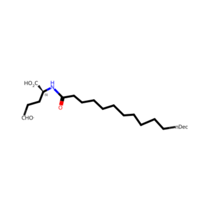 CCCCCCCCCCCCCCCCCCCCC(=O)N[C@@H](CC[C]=O)C(=O)O